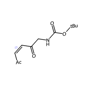 CC(=O)/C=C\C(=O)CNC(=O)OC(C)(C)C